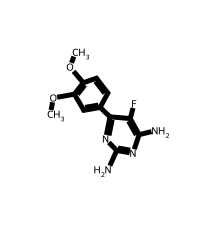 COc1ccc(-c2nc(N)nc(N)c2F)cc1OC